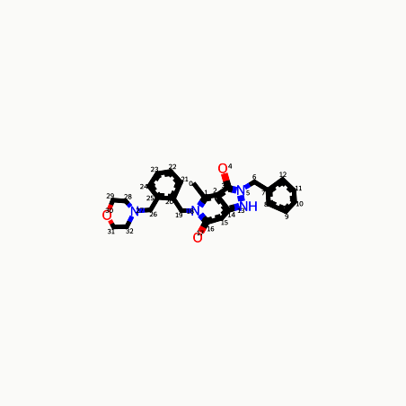 Cc1c2c(=O)n(Cc3ccccc3)[nH]c2cc(=O)n1Cc1ccccc1CN1CCOCC1